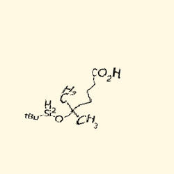 CC(C)(CCCC(=O)O)O[SiH2]C(C)(C)C